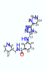 Cc1ccncc1CNC(=O)c1cccc(NCc2nnc(-c3ccncn3)n2C)c1